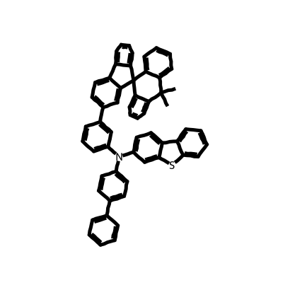 CC1(C)c2ccccc2C2(c3ccccc3-c3ccc(-c4cccc(N(c5ccc(-c6ccccc6)cc5)c5ccc6c(c5)sc5ccccc56)c4)cc32)c2ccccc21